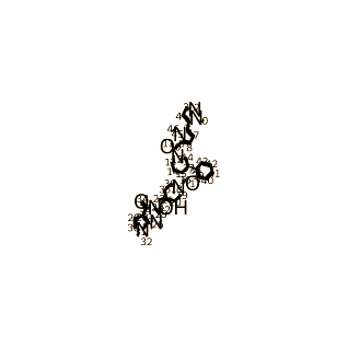 Cn1nccc1-c1ccc(C(=O)N2CC[C@@H](C(=O)N3CCC(O)(Cn4cnc5c(ccn5C)c4=O)CC3)[C@H](c3ccccc3)C2)n1C